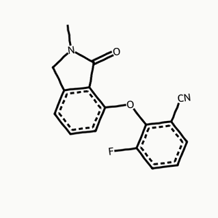 CN1Cc2cccc(Oc3c(F)cccc3C#N)c2C1=O